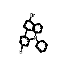 Brc1ccc(-c2ccc(Br)cc2N(c2ccccc2)c2ccccc2)cc1